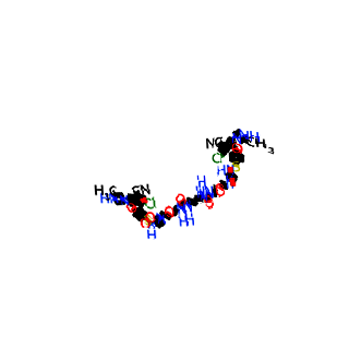 C[C@H]1CN([C@H]2Cc3c(C#N)cc(Cl)cc3[C@@H]2Oc2ccc(SN[C@H]3CCN(CCOCCNC(=O)NCCCCNC(=O)NCCOCCN4CC[C@H](NS(=O)(=O)c5ccc(O[C@H]6c7cc(Cl)cc(C#N)c7C[C@@H]6N6CCN[C@@H](C)C6)cc5)C4)C3)cc2)CCN1